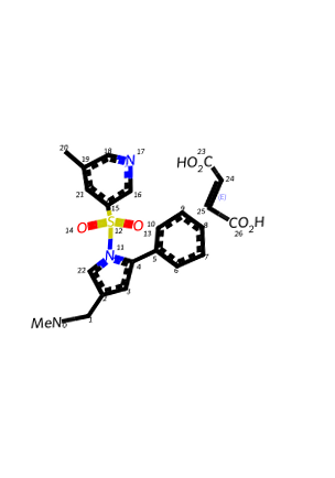 CNCc1cc(-c2ccccc2)n(S(=O)(=O)c2cncc(C)c2)c1.O=C(O)/C=C/C(=O)O